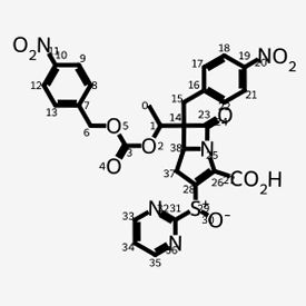 CC(OC(=O)OCc1ccc([N+](=O)[O-])cc1)C1(Cc2ccc([N+](=O)[O-])cc2)C(=O)N2C(C(=O)O)=C([S+]([O-])c3ncccn3)CC21